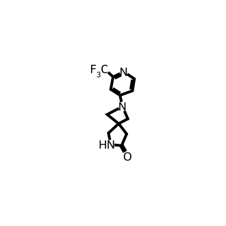 O=C1CC2(CN1)CN(c1ccnc(C(F)(F)F)c1)C2